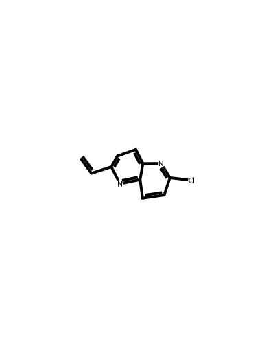 C=Cc1ccc2nc(Cl)ccc2n1